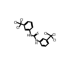 S=C(Nc1cccc(C(Cl)(Cl)Cl)c1)Nc1cccc(C(Cl)(Cl)Cl)c1